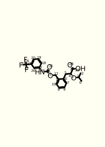 CC(C)OC(Cc1ccccc1COC(=O)Nc1cccc(C(F)(F)F)c1)C(=O)O